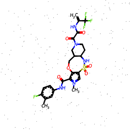 C=C(NC(=O)C(=O)N1CCC2NS(=O)(=O)c3cn(C)c(C(=O)Nc4ccc(F)c(C)c4)c3OCC2C1)C(F)(F)F